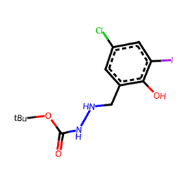 CC(C)(C)OC(=O)NNCc1cc(Cl)cc(I)c1O